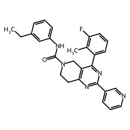 CCc1cccc(NC(=O)N2CCc3nc(-c4cccnc4)nc(-c4cccc(F)c4C)c3C2)c1